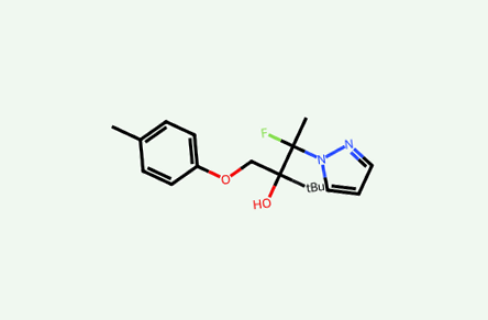 Cc1ccc(OCC(O)(C(C)(C)C)C(C)(F)n2cccn2)cc1